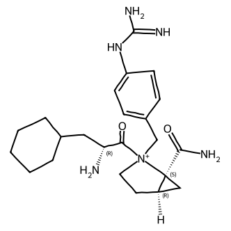 N=C(N)Nc1ccc(C[N+]2(C(=O)[C@H](N)CC3CCCCC3)CC[C@@H]3C[C@@]32C(N)=O)cc1